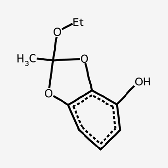 CCOC1(C)Oc2cccc(O)c2O1